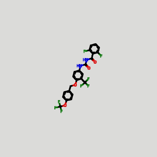 O=C(NC(=O)c1c(F)cccc1F)Nc1ccc(OCc2ccc(OC(F)(F)F)cc2)c(C(F)(F)F)c1